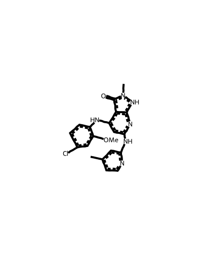 COc1cc(Cl)ccc1Nc1cc(Nc2cc(C)ccn2)nc2[nH]n(C)c(=O)c12